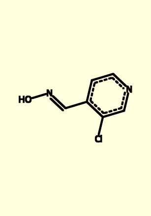 O/N=C/c1ccncc1Cl